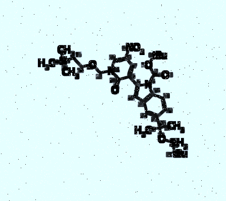 CC(C)(C)OC(=O)n1c(-c2cc([N+](=O)[O-])cn(COCC[Si](C)(C)C)c2=O)cc2cc(C(C)(C)O[SiH2]C(C)(C)C)ccc21